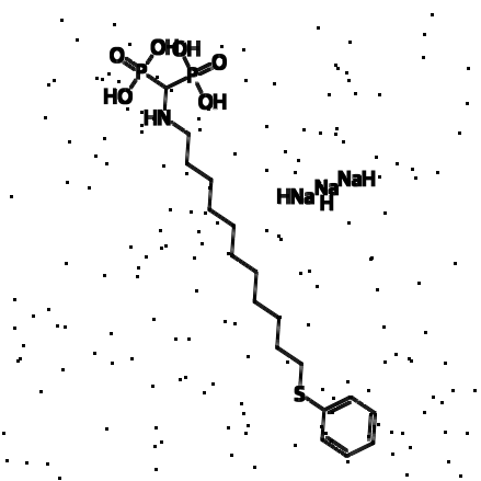 O=P(O)(O)C(NCCCCCCCCCCCSc1ccccc1)P(=O)(O)O.[NaH].[NaH].[NaH]